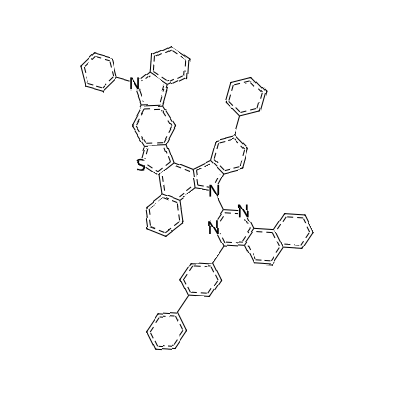 c1ccc(-c2ccc(-c3nc(-n4c5ccc(-c6ccccc6)cc5c5c6c7cc8c9ccccc9n(-c9ccccc9)c8cc7sc6c6ccccc6c54)nc4c3ccc3ccccc34)cc2)cc1